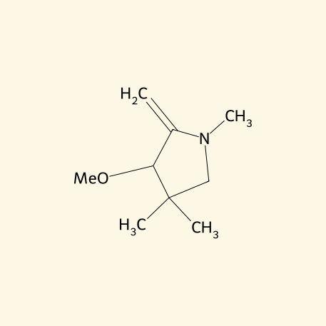 C=C1C(OC)C(C)(C)CN1C